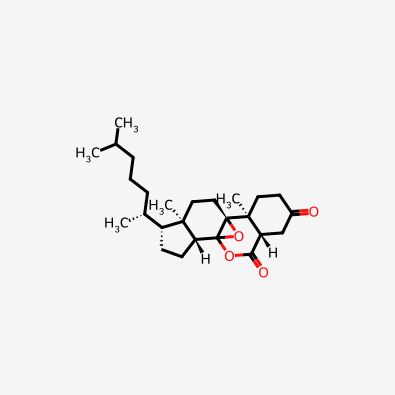 CC(C)CCC[C@@H](C)[C@H]1CC[C@H]2C34OC(=O)[C@H]5CC(=O)CC[C@]5(C)[C@]3(CC[C@]12C)O4